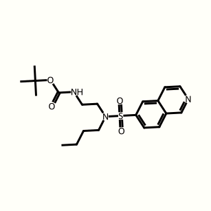 CCCCN(CCNC(=O)OC(C)(C)C)S(=O)(=O)c1ccc2cnccc2c1